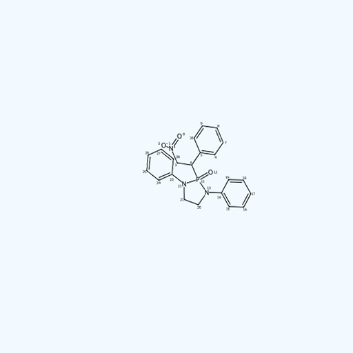 O=[N+]([O-])CC(c1ccccc1)P1(=O)N(c2ccccc2)CCN1c1ccccc1